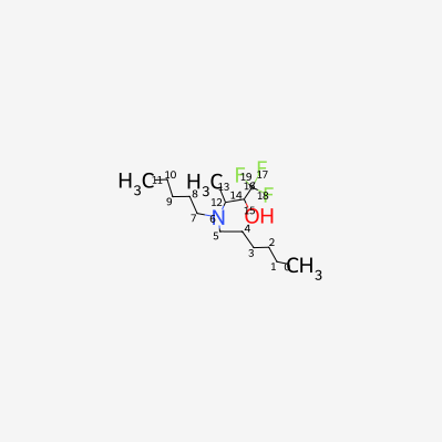 CCCCCCN(CCCCC)C(C)C(O)C(F)(F)F